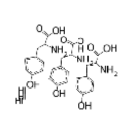 I.I.I.NC(Cc1ccc(O)cc1)C(=O)O.NC(Cc1ccc(O)cc1)C(=O)O.NC(Cc1ccc(O)cc1)C(=O)O